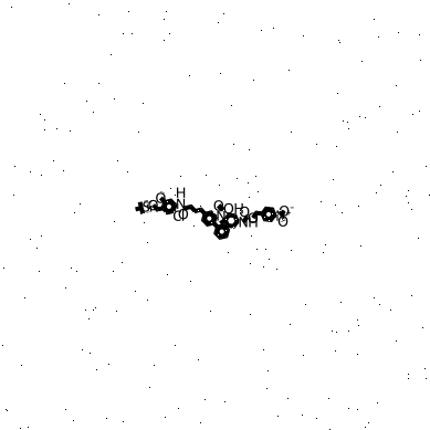 COc1cc(NC(=O)CCCc2ccc(-c3ccccc3)c(N(C(=O)O)C3(C)CCC(NC(=O)OCc4ccc([N+](=O)[O-])cc4)CC3)c2)c(Cl)cc1CO[Si](C)(C)C(C)(C)C